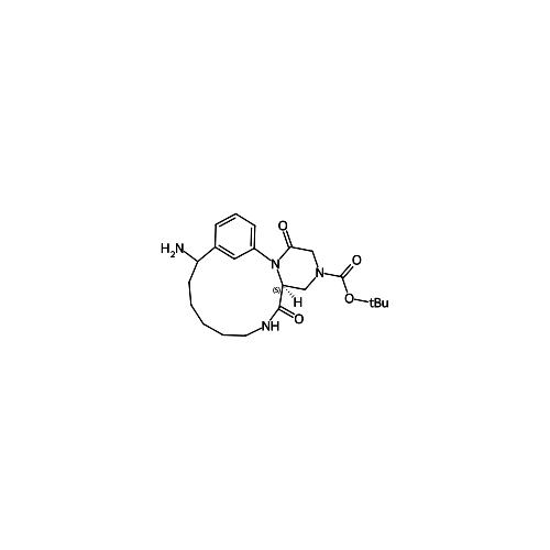 CC(C)(C)OC(=O)N1CC(=O)N2c3cccc(c3)C(N)CCCCCNC(=O)[C@@H]2C1